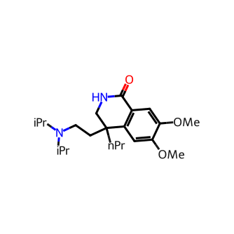 CCCC1(CCN(C(C)C)C(C)C)CNC(=O)c2cc(OC)c(OC)cc21